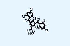 O=C(OO)c1cc(C(=O)c2ccc(Cl)cc2Cl)c(Cl)c(C(=O)c2ccc(Cl)cc2Cl)c1Cl